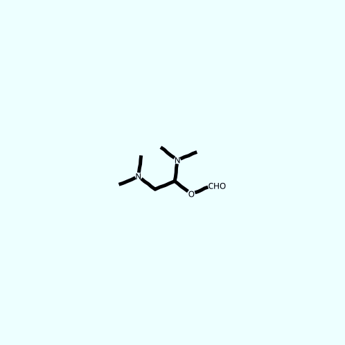 CN(C)CC(OC=O)N(C)C